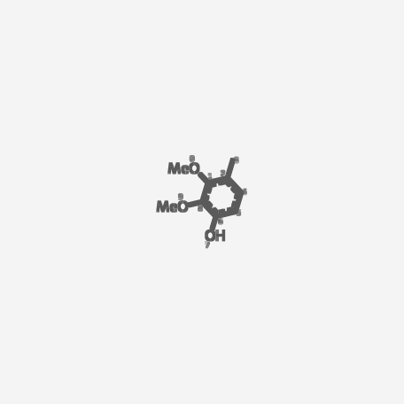 COc1c(C)ccc(O)c1OC